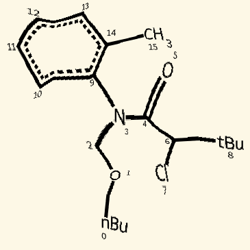 CCCCOCN(C(=O)C(Cl)C(C)(C)C)c1ccccc1C